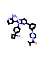 CC(C)C(=O)N1CCN(c2cccc(-c3ccc4nc(-c5cccnc5N)n(-c5ccc(C6(N)CCC6)cc5)c4n3)c2)CC1